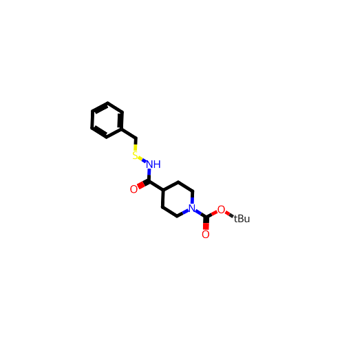 CC(C)(C)OC(=O)N1CCC(C(=O)NSCc2ccccc2)CC1